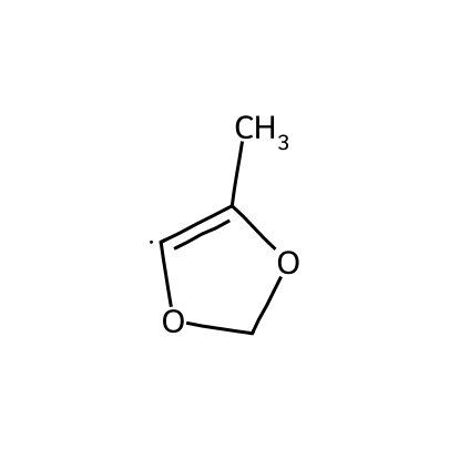 CC1=[C]OCO1